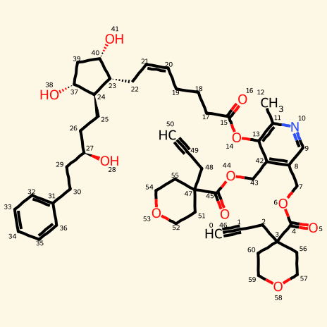 C#CCC1(C(=O)OCc2cnc(C)c(OC(=O)CCC/C=C\C[C@@H]3[C@@H](CC[C@@H](O)CCc4ccccc4)[C@H](O)C[C@@H]3O)c2COC(=O)C2(CC#C)CCOCC2)CCOCC1